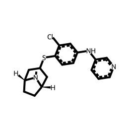 CN1[C@@H]2CC[C@H]1CC(Sc1ccc(Nc3cccnc3)cc1Cl)C2